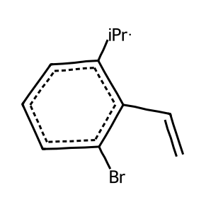 C=Cc1c(Br)cccc1[C](C)C